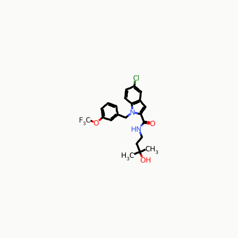 CC(C)(O)CCNC(=O)c1cc2cc(Cl)ccc2n1Cc1cccc(OC(F)(F)F)c1